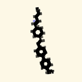 CCCc1ccc(-c2ccc(CC[C@H]3CC[C@H](/C=C/CCF)CC3)cc2)cc1